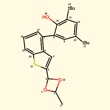 CC1OC(c2cc3c(-c4cc(C(C)(C)C)cc(C(C)(C)C)c4O)cccc3s2)O1